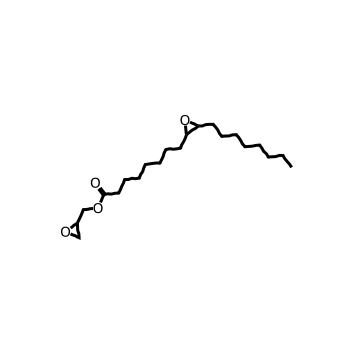 CCCCCCCCC1OC1CCCCCCCC(=O)OCC1CO1